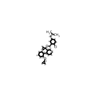 CN(C)Sc1ccc(Cl)c(COC2(c3cnccc3-c3ccccc3OC3CC3)CC2)c1